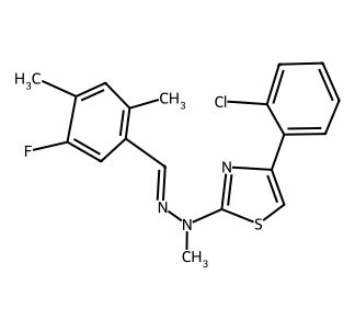 Cc1cc(C)c(/C=N/N(C)c2nc(-c3ccccc3Cl)cs2)cc1F